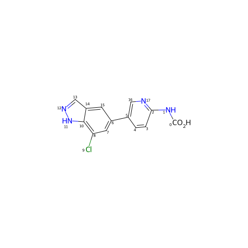 O=C(O)Nc1ccc(-c2cc(Cl)c3[nH]ncc3c2)cn1